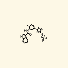 Cc1ccc(-c2noc(N3CC(F)(F)C3)n2)cc1NC(=O)c1cnc2ccccn12